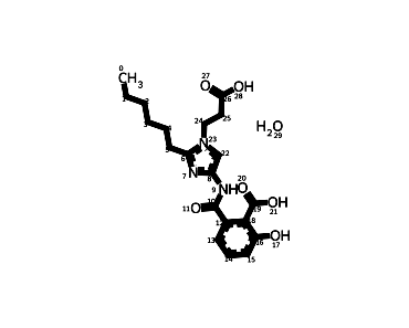 CCCCCCc1nc(NC(=O)c2cccc(O)c2C(=O)O)cn1CCC(=O)O.O